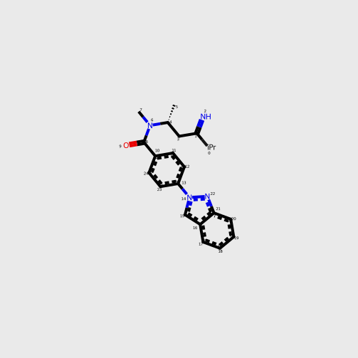 CC(C)C(=N)C[C@@H](C)N(C)C(=O)c1ccc(-n2cc3ccccc3n2)cc1